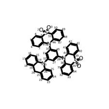 O=S1(=O)c2ccccc2N(c2cc(N3c4ccccc4Cc4ccccc43)cc(N3c4ccccc4S(=O)(=O)c4ccccc43)c2)c2ccccc21